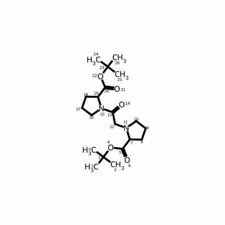 CC(C)(C)OC(=O)C1CCCN1CC(=O)N1CCCC1C(=O)OC(C)(C)C